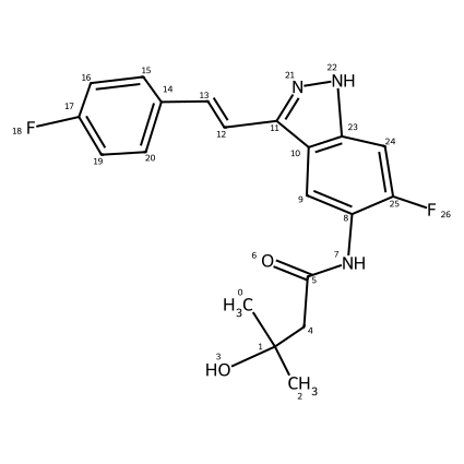 CC(C)(O)CC(=O)Nc1cc2c(/C=C/c3ccc(F)cc3)n[nH]c2cc1F